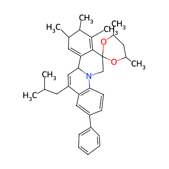 CC1=C2C(=CC(C)C1C)C1C=C(CC(C)C)c3cc(-c4ccccc4)ccc3N1CC21OC(C)CC(C)O1